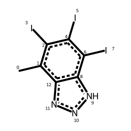 Cc1c(I)c(I)c(I)c2[nH]nnc12